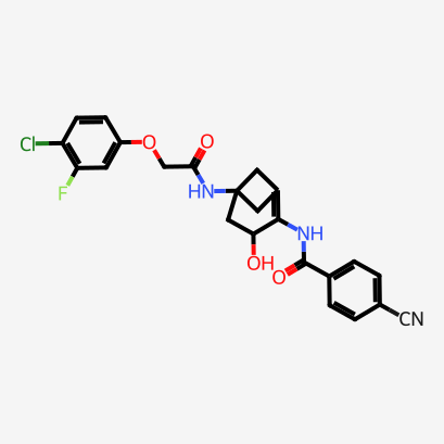 N#Cc1ccc(C(=O)NC2=C3CC(NC(=O)COc4ccc(Cl)c(F)c4)(C3)CC2O)cc1